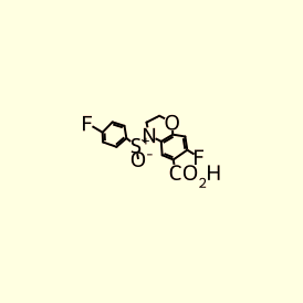 O=C(O)c1cc2c(cc1F)OCCN2[S+]([O-])c1ccc(F)cc1